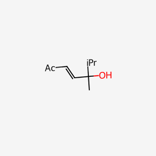 CC(=O)C=CC(C)(O)C(C)C